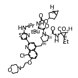 CC[C@@H]1CC1(NC(=O)[C@@H]1C[C@@H](Cc2cc(-c3csc(NC(C)C)n3)nc3c(Cl)c(OCCN4CCOCC4)ccc23)CN1C(=O)[C@@H](NC(=O)OC1CC2C[C@@H]2C1)C(C)(C)C)C(=O)O